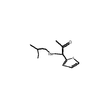 CC(=O)C(NCC(C)C)c1cccs1